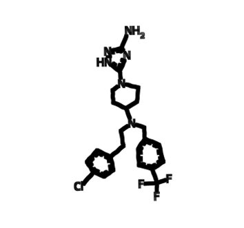 Nc1n[nH]c(N2CCC(N(CCc3ccc(Cl)cc3)Cc3ccc(C(F)(F)F)cc3)CC2)n1